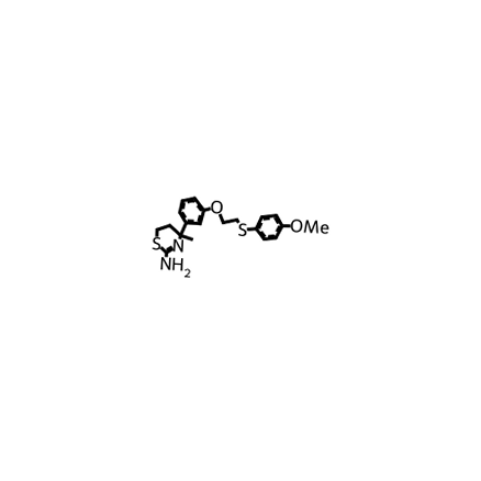 COc1ccc(SCCOc2cccc(C3(C)CCSC(N)=N3)c2)cc1